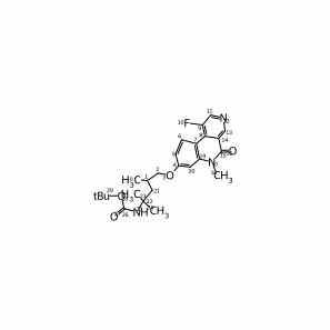 CC(COc1ccc2c3c(F)cncc3c(=O)n(C)c2c1)CC(C)(C)NC(=O)OC(C)(C)C